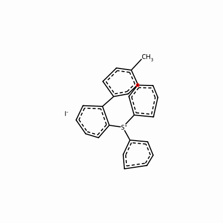 Cc1ccc(-c2ccccc2[S+](c2ccccc2)c2ccccc2)cc1.[I-]